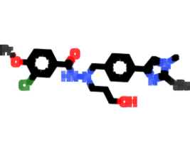 CC(C)Oc1ccc(C(=O)NN(CCCO)Cc2ccc(-c3cn(C)c(C(C)(C)C)n3)cc2)cc1Cl